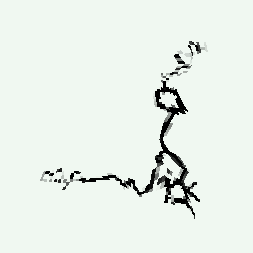 CCOC(=O)CCCCC[n+]1cc(C#Cc2ccc(SOOO)cc2)cc2c1N=C(C)C2(C)C